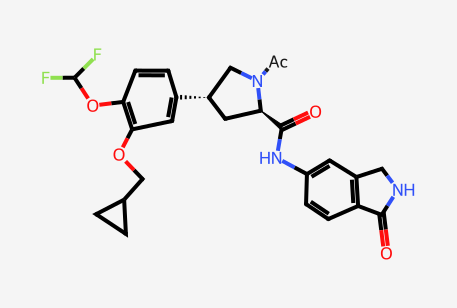 CC(=O)N1C[C@@H](c2ccc(OC(F)F)c(OCC3CC3)c2)C[C@@H]1C(=O)Nc1ccc2c(c1)CNC2=O